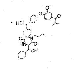 CCCCN1C(=O)[C@@H]([C@H](O)C2CCCCC2)NC(=O)C12CCN(Cc1ccc(Oc3ccc(C(=O)N(C)C)cc3OC)cc1)CC2.Cl